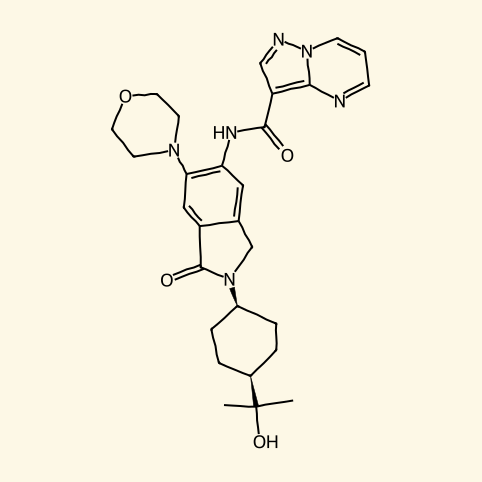 CC(C)(O)[C@H]1CC[C@@H](N2Cc3cc(NC(=O)c4cnn5cccnc45)c(N4CCOCC4)cc3C2=O)CC1